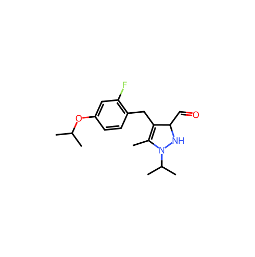 CC1=C(Cc2ccc(OC(C)C)cc2F)C(C=O)NN1C(C)C